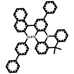 CC1(C)c2ccccc2N2c3cc(-c4ccccc4)cc(-c4c(Nc5ccc(-c6ccccc6)cc5)ccc5ccccc45)c3Bc3cccc1c32